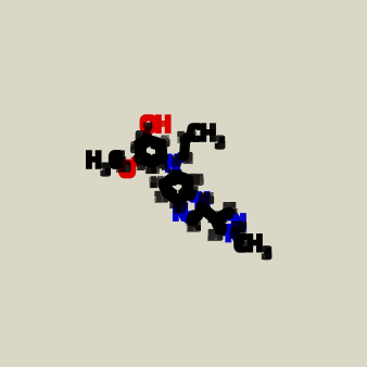 CCCN(c1cc(O)cc(OC)c1)c1ccc2ncc(-c3cnn(C)c3)nc2c1